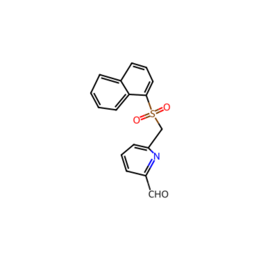 O=Cc1cccc(CS(=O)(=O)c2cccc3ccccc23)n1